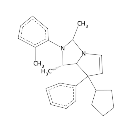 Cc1ccccc1N1C(C)N2C=CC(c3ccccc3)(C3CCCC3)C2[C@@H]1C